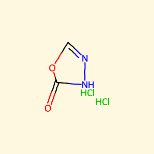 Cl.Cl.O=c1[nH]nco1